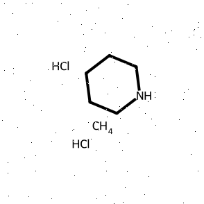 C.C1CCNCC1.Cl.Cl